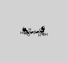 O=C(NCCSSCCNC(=O)/C(Cc1ccsc1)=N/O)/C(Cc1ccsc1)=N/O